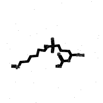 CCCCCC(CCCS(=O)(=O)NCCCCCCC(=O)O)OC(=O)CCCC